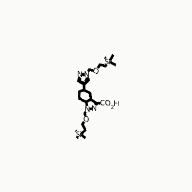 C[Si](C)(C)CCOCN1N=C(C(=O)O)C2CC(c3cnn(COCC[Si](C)(C)C)c3)CCC21